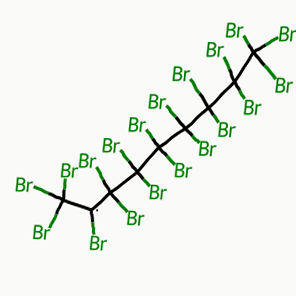 Br[C](C(Br)(Br)Br)C(Br)(Br)C(Br)(Br)C(Br)(Br)C(Br)(Br)C(Br)(Br)C(Br)(Br)C(Br)(Br)Br